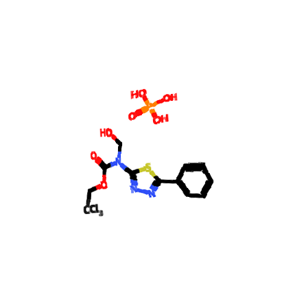 O=C(OCC(Cl)(Cl)Cl)N(CO)c1nnc(-c2ccccc2)s1.O=P(O)(O)O